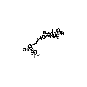 CCc1cc(Nc2ncc(Cl)c(Nc3ccccc3P(C)(C)=O)n2)c(OC)cc1N1CCC2(CC1)CC(N(C)CCCC#Cc1cccc(C=O)c1CN(C)C1CCC(=O)NC1=O)C2